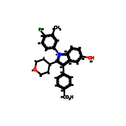 Cc1cc(-n2c(C3CCOCC3)c(-c3ccc(C(=O)O)cc3)c3cc(O)ccc32)ccc1F